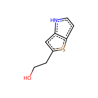 OCCc1cc2[nH]ccc2s1